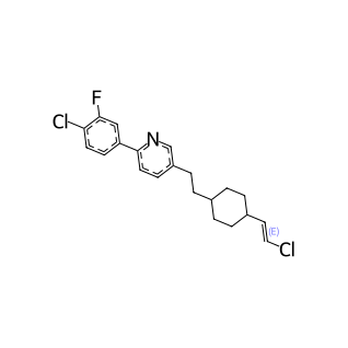 Fc1cc(-c2ccc(CCC3CCC(/C=C/Cl)CC3)cn2)ccc1Cl